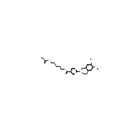 COc1cc2c(cc1OC)CN(c1ncc(C(=O)NCCCCCNC(=O)CS)cn1)CC2